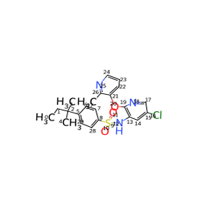 CCC(C)(C)c1ccc(S(=O)(=O)Nc2cc(Cl)cnc2Oc2cccnc2C)cc1